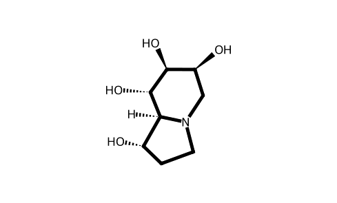 O[C@@H]1[C@@H](O)[C@@H](O)CN2CC[C@H](O)[C@@H]12